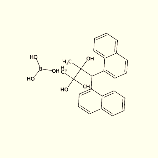 CC(C)(O)C(C)(O)C(c1cccc2ccccc12)c1cccc2ccccc12.OB(O)O